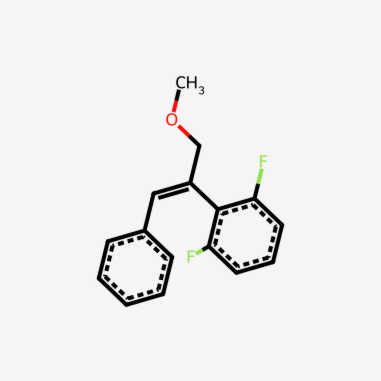 COC/C(=C/c1ccccc1)c1c(F)cccc1F